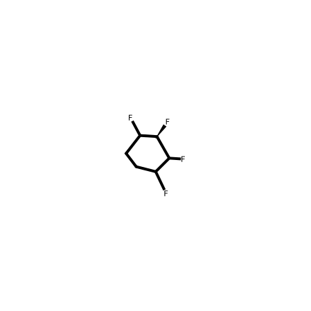 FC1CCC(F)[C@@H](F)C1F